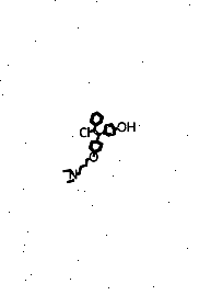 CCN(CC)CCCCOc1ccc(C(=C(Cl)c2ccccc2)c2ccc(O)cc2)cc1